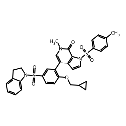 Cc1ccc(S(=O)(=O)n2ccc3c(-c4cc(S(=O)(=O)N5CCc6ccccc65)ccc4OCC4CC4)cn(C)c(=O)c32)cc1